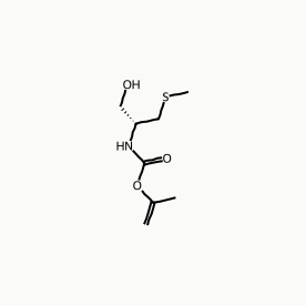 C=C(C)OC(=O)N[C@H](CO)CSC